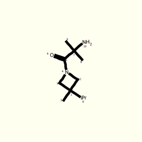 CC(C)C1(C)CN(C(=O)C(C)(C)N)C1